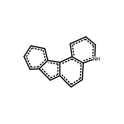 c1ccc2c(c1)cc1ccc3[nH]cccc3c12